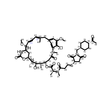 COc1cc2cc(c1Cl)N(C)C(=O)C[C@H](OC(=O)[C@H](C)N(C)C(=O)CCS[C@@H]1CC(=O)N(C[C@H]3CC[C@H](C(C)=O)CC3)C1=O)[C@@H](C)[C@@H](O)[C@H](C)[C@@H]1C[C@@](O)(NC(=O)O1)[C@H](OC)/C=C/C=C(\C)C2